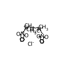 C[N+](C)(CCCCC[Si](C)(C)CCCN1C(=O)c2ccccc2C1=O)CCCN1C(=O)c2ccccc2C1=O.[Cl-]